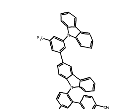 N#Cc1ccc(-c2cc(C#N)ccc2-n2c3ccccc3c3cc(-c4cc(-n5c6ccccc6c6ccccc65)cc(C(F)(F)F)c4)ccc32)c(C#N)c1